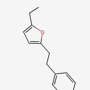 CCc1ccc(CCc2ccccc2)o1